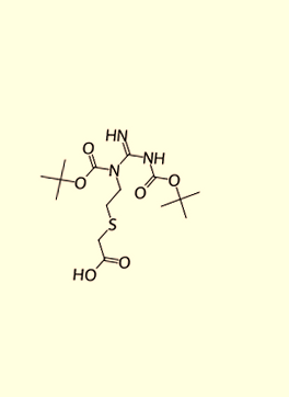 CC(C)(C)OC(=O)NC(=N)N(CCSCC(=O)O)C(=O)OC(C)(C)C